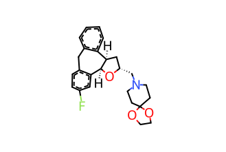 Fc1ccc2c(c1)[C@@H]1O[C@@H](CN3CCC4(CC3)OCCO4)C[C@@H]1c1ccccc1C2